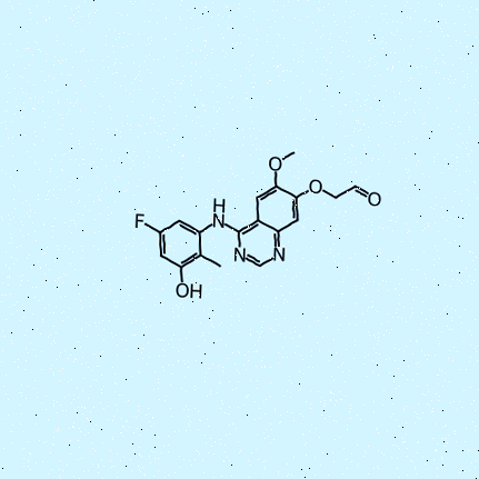 COc1cc2c(Nc3cc(F)cc(O)c3C)ncnc2cc1OCC=O